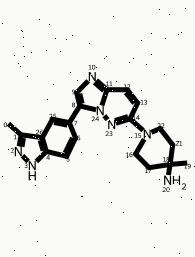 Cc1n[nH]c2ccc(-c3cnc4ccc(N5CCC(C)(N)CC5)nn34)cc12